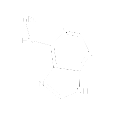 CCCCNc1ncnc2[nH]cnc12